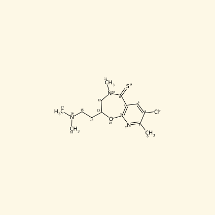 Cc1nc2c(cc1Cl)C(=S)N(C)CC(CCN(C)C)O2